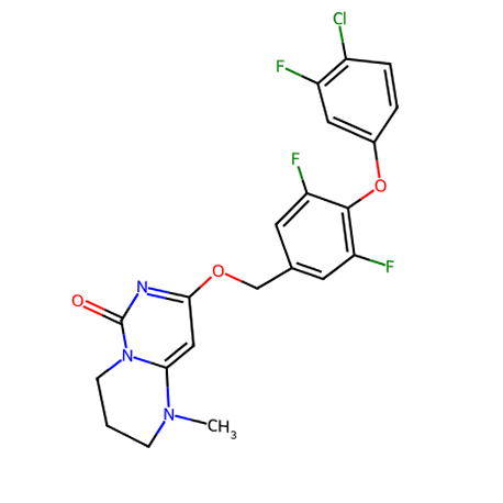 CN1CCCn2c1cc(OCc1cc(F)c(Oc3ccc(Cl)c(F)c3)c(F)c1)nc2=O